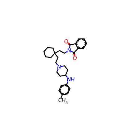 Cc1ccc(NC2CCN(CCC3(CCN4C(=O)c5ccccc5C4=O)CCCCC3)CC2)cc1